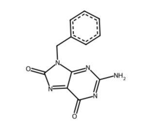 NC1=NC(=O)C2=NC(=O)N(Cc3ccccc3)C2=N1